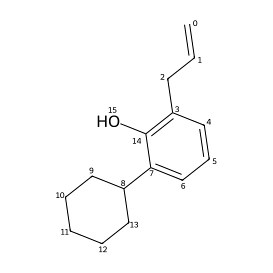 C=CCc1cccc(C2CCCCC2)c1O